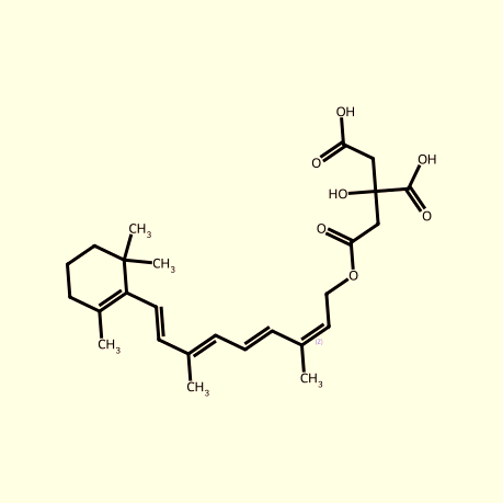 CC(C=CC1=C(C)CCCC1(C)C)=CC=C/C(C)=C\COC(=O)CC(O)(CC(=O)O)C(=O)O